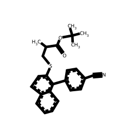 CC(CSc1ccc2ccccc2c1-c1ccc(C#N)cc1)C(=O)OC(C)(C)C